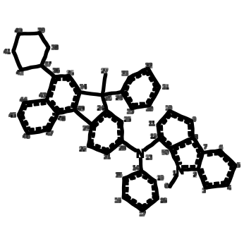 Cn1c2ccccc2c2cccc(N(c3ccccc3)c3ccc4c(c3)C(C)(c3ccccc3)c3cc(C5CCCCC5)c5ccccc5c3-4)c21